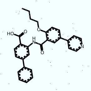 CCCCOc1ccc(-c2ccncc2)cc1C(=O)Nc1cc(-c2ccccc2)ccc1C(=O)O